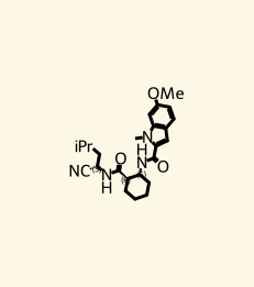 COc1ccc2cc(C(=O)N[C@H]3CCCC[C@H]3C(=O)N[C@H](C#N)CC(C)C)n(C)c2c1